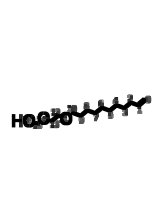 C=CCCCCCCCCCOCCOCO